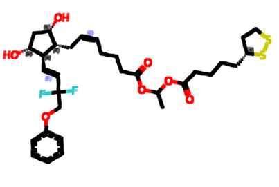 CC(OC(=O)CCC/C=C\C[C@@H]1[C@@H](/C=C/C(F)(F)COc2ccccc2)[C@H](O)C[C@@H]1O)OC(=O)CCCC[C@@H]1CCSS1